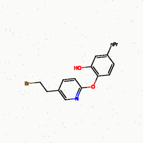 CCCc1ccc(Oc2ccc(CCBr)cn2)c(O)c1